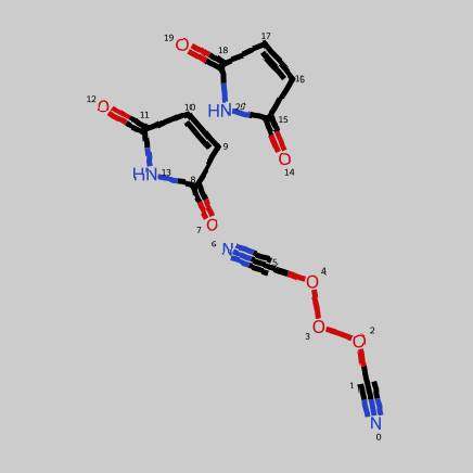 N#COOOC#N.O=C1C=CC(=O)N1.O=C1C=CC(=O)N1